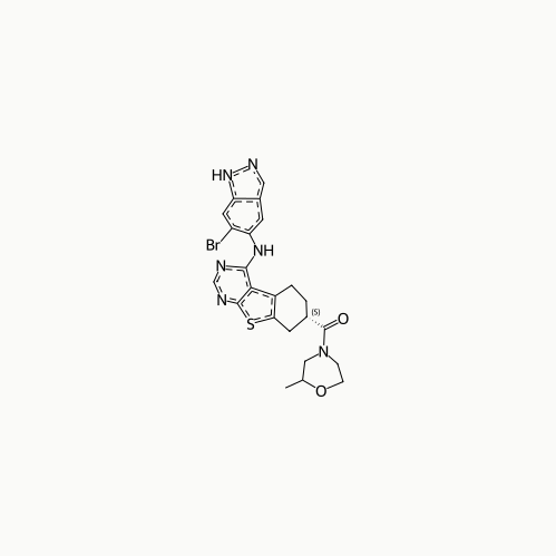 CC1CN(C(=O)[C@H]2CCc3c(sc4ncnc(Nc5cc6cn[nH]c6cc5Br)c34)C2)CCO1